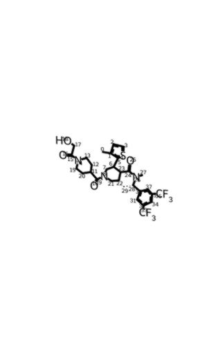 Cc1ccsc1C1CN(C(=O)C2CCN(C(=O)CO)CC2)CCC1C(=O)N(C)[C@@H](C)c1cc(C(F)(F)F)cc(C(F)(F)F)c1